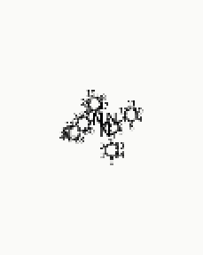 c1ccc(-c2cc(-c3ccccc3)nc(-n3c4ccccc4c4cc5cnccc5cc43)n2)cc1